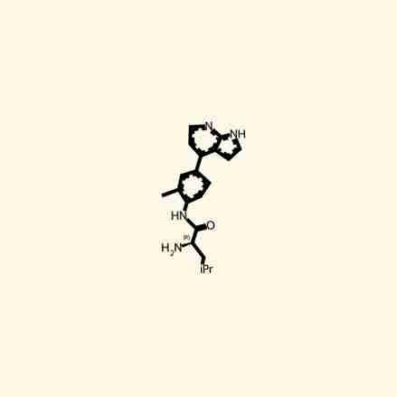 Cc1cc(-c2ccnc3[nH]ccc23)ccc1NC(=O)[C@H](N)CC(C)C